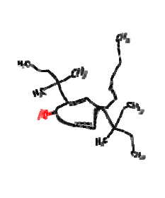 CCCCC1(C(C)(C)CC)C=CC(O)C(C(C)(C)CC)=C1